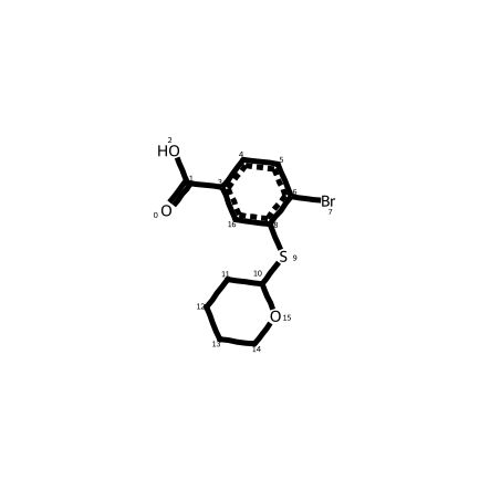 O=C(O)c1ccc(Br)c(SC2CCCCO2)c1